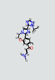 Cc1cc2c(cc1C(=O)C=CN(C)C)OCCn1cc(-c3ncnn3C(C)C)nc1-2